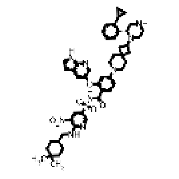 CC1(C)CCC(CNc2ncc(S(=O)(=O)NC(=O)c3ccc(N4CCC5(CC4)CC(N4CCNC[C@H]4c4ccccc4C4CC4)C5)cc3Oc3cnc4[nH]ccc4c3)cc2[N+](=O)[O-])CC1